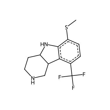 CSc1ccc(C(F)(F)F)c2c1NC1CCNCC21